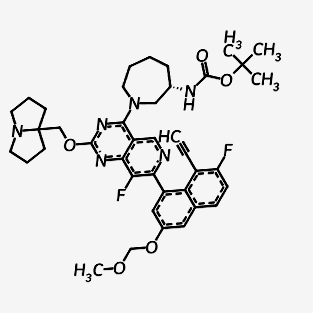 C#Cc1c(F)ccc2cc(OCOC)cc(-c3ncc4c(N5CCCC[C@H](NC(=O)OC(C)(C)C)C5)nc(OCC56CCCN5CCC6)nc4c3F)c12